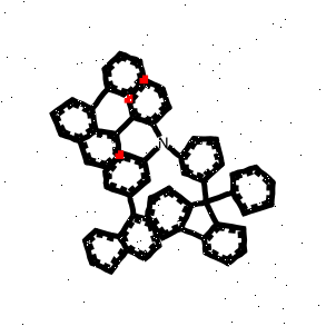 c1ccc(-c2cccc3cccc(-c4ccccc4N(c4cccc(-c5cccc6ccccc56)c4)c4cccc(C5(c6ccccc6)c6ccccc6-c6ccccc65)c4)c23)cc1